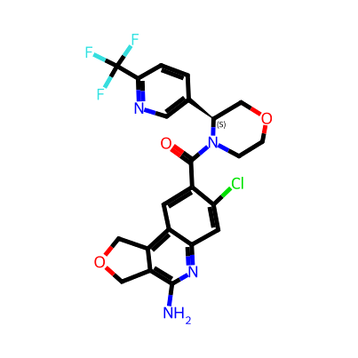 Nc1nc2cc(Cl)c(C(=O)N3CCOC[C@@H]3c3ccc(C(F)(F)F)nc3)cc2c2c1COC2